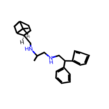 CC(CNCC(c1ccccc1)c1ccccc1)NC[C@@H]1CCC2CC1C2(C)C